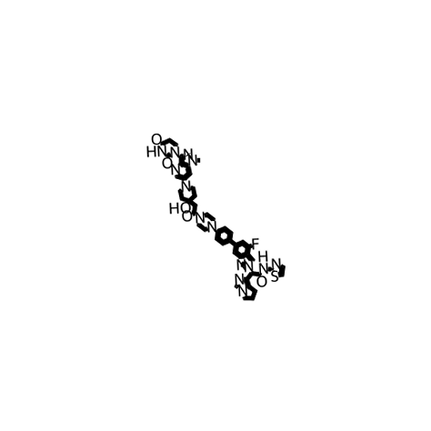 Cn1nc(N2CCC(=O)NC2=O)c2ncc(N3CCC(O)(CC(=O)N4CCN(c5ccc(-c6cc(F)c7cn(C(C(=O)Nc8nccs8)c8ncn9c8CCC9)nc7c6)cc5)CC4)CC3)cc21